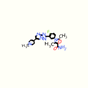 CC1=C(C(N)=O)OC(C)N1c1ccc(F)c(-c2nc3ncc(C4=CCN(C)CC4)cn3n2)c1